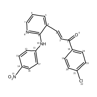 O=C(C=Cc1cccnc1Nc1ccc([N+](=O)[O-])cc1)c1ccc(Cl)cc1